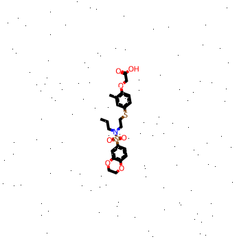 CCCN(CCSc1ccc(OCC(=O)O)c(C)c1)S(=O)(=O)c1ccc2c(c1)OCCO2